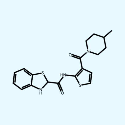 CC1CCN(C(=O)c2ccsc2NC(=O)C2Nc3ccccc3S2)CC1